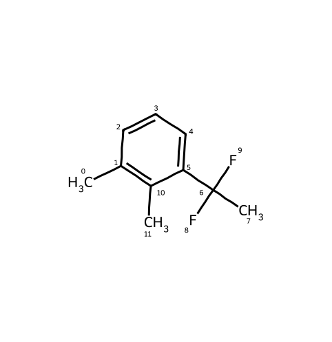 Cc1cccc(C(C)(F)F)c1C